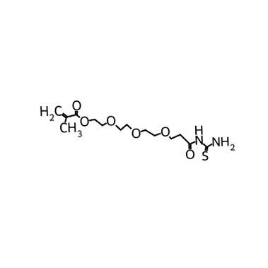 C=C(C)C(=O)OCCOCCOCCOCCC(=O)NC(N)=S